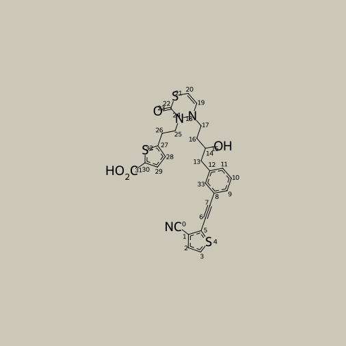 N#Cc1ccsc1C#Cc1cccc(CC(O)CCN2C=CSC(=O)N2CCc2ccc(C(=O)O)s2)c1